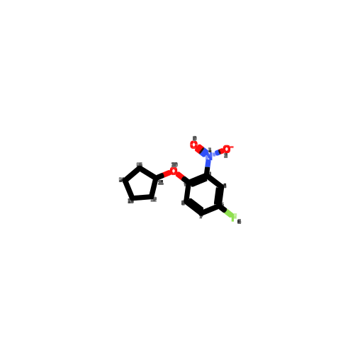 O=[N+]([O-])c1cc(F)ccc1OC1CCCC1